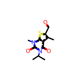 Cc1c(C=O)sc2c1c(=O)n(C(C)C)c(=O)n2C